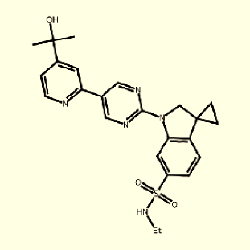 CCNS(=O)(=O)c1ccc2c(c1)N(c1ncc(-c3cc(C(C)(C)O)ccn3)cn1)CC21CC1